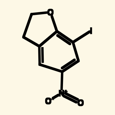 O=[N+]([O-])c1cc(I)c2c(c1)CCO2